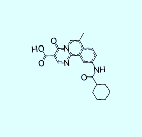 Cc1cn2c(=O)c(C(=O)O)cnc2c2cc(NC(=O)C3CCCCC3)ccc12